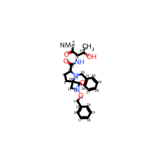 CNC(=O)[C@@H](NC(=O)C1CCC2(CN(OCc3ccccc3)C2=O)N1Cc1ccccc1)[C@@H](C)O